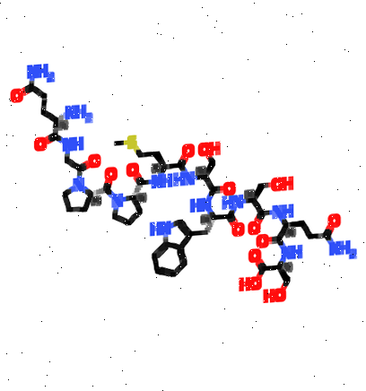 CSCC[C@H](NC(=O)[C@@H]1CCCN1C(=O)[C@@H]1CCCN1C(=O)CNC(=O)[C@@H](N)CCC(N)=O)C(=O)N[C@@H](CO)C(=O)N[C@@H](Cc1c[nH]c2ccccc12)C(=O)N[C@@H](CO)C(=O)N[C@@H](CCC(N)=O)C(=O)N[C@@H](CO)C(=O)O